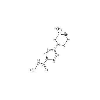 CNC(=O)c1ccc(N2CCNC(C)C2)cn1